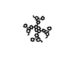 CCC1CCC2(C)N(c3ccccc3)c3ccc(-c4cc(-c5ccc6c(c5)C5(C)CC(CC)CCC5(C)N6c5ccccc5)c5ccc6c(-c7ccc8c(c7)C7(C)CC(CC)CCC7(C)N8c7ccccc7)cc(-c7ccc8c(c7)C7(C)CC(CC)CCC7(C)N8c7ccccc7)c7ccc4c5c76)cc3C2(C)C1